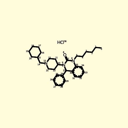 CCCCCCN1C(=O)N(C2CCN(CC3CCCCC3)CC2)C(c2ccccc2)c2ccccc21.Cl